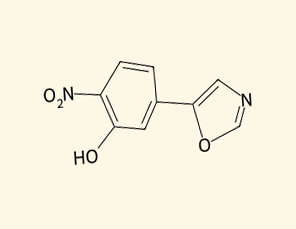 O=[N+]([O-])c1ccc(-c2cnco2)cc1O